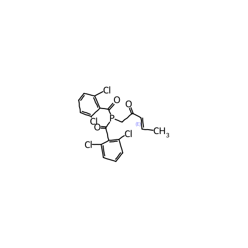 C/C=C/C(=O)CP(C(=O)c1c(Cl)cccc1Cl)C(=O)c1c(Cl)cccc1Cl